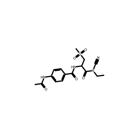 CCN(C#N)C(=O)C(CS(C)(=O)=O)NC(=O)c1ccc(NC(C)=O)cc1